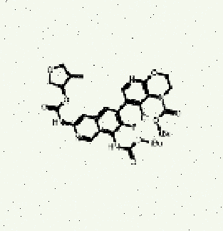 CCc1c(-c2cc3cc(NC(=O)OC4COCC4C)ncc3c(NC(=O)OC(C)(C)C)c2F)cnc2c1N(C(=O)OC(C)(C)C)CCO2